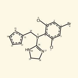 Clc1cc(Br)cc(Cl)c1N(Cc1cccs1)C1=NCCN1